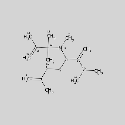 C=C(C)CCC(C(=C)C(C)C)N(C)C(C)(C)C(=C)C